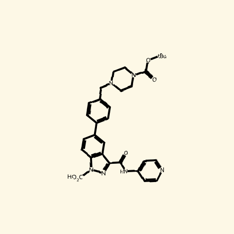 CC(C)(C)OC(=O)N1CCN(Cc2ccc(-c3ccc4c(c3)c(C(=O)Nc3ccncc3)nn4C(=O)O)cc2)CC1